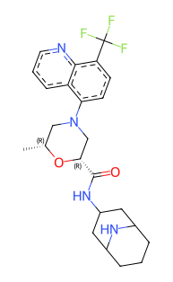 C[C@@H]1CN(c2ccc(C(F)(F)F)c3ncccc23)C[C@H](C(=O)NC2CC3CCCC(C2)N3)O1